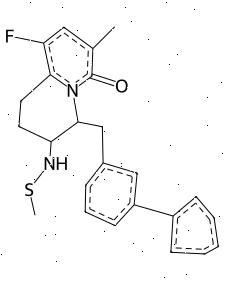 CSNC1CCc2c(F)cc(C)c(=O)n2C1Cc1cccc(-c2ccccc2)c1